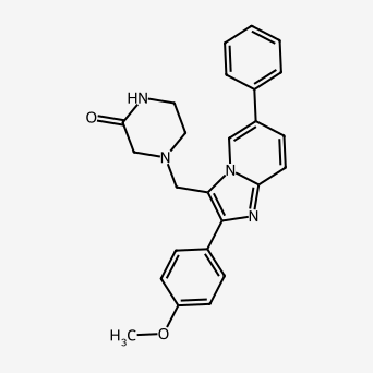 COc1ccc(-c2nc3ccc(-c4ccccc4)cn3c2CN2CCNC(=O)C2)cc1